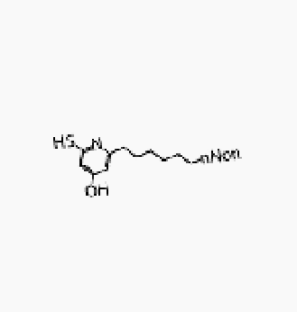 CCCCCCCCCCCCCCCc1cc(O)cc(S)n1